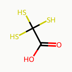 O=C(O)C(S)(S)S